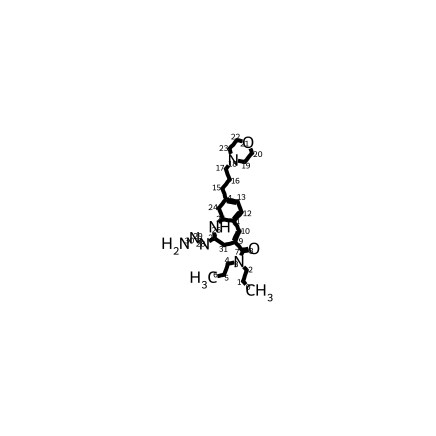 CCCN(CCC)C(=O)C1=CC2=CC=C(CCCN3CCOCC3)CC2NC(N=NN)C1